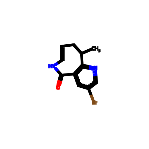 CC1C/C=C/NC(=O)c2cc(Br)cnc21